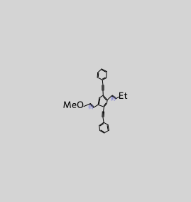 CC/C=C/c1cc(C#Cc2ccccc2)c(/C=C/COC)cc1C#Cc1ccccc1